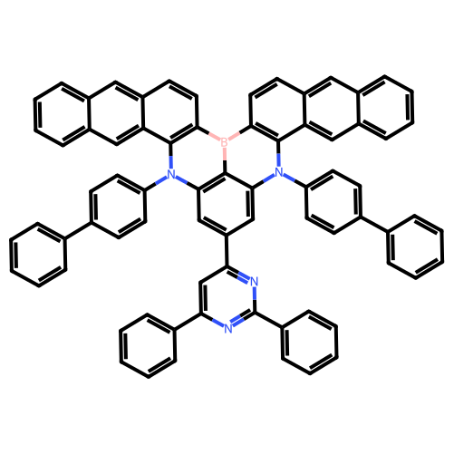 c1ccc(-c2ccc(N3c4cc(-c5cc(-c6ccccc6)nc(-c6ccccc6)n5)cc5c4B(c4ccc6cc7ccccc7cc6c43)c3ccc4cc6ccccc6cc4c3N5c3ccc(-c4ccccc4)cc3)cc2)cc1